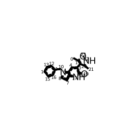 CC1=C(c2cc3c(ccn3Cc3ccccc3)[nH]c2=O)C(C)NO1